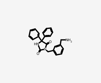 NCc1cccc(CN2C(=O)NC(c3ccccc3)(c3ccccc3)C2=O)c1